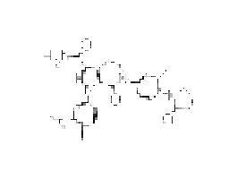 CSc1cc(-n2nc(C(N)=O)c3c2C(=O)N(c2ccc(N4CCCC4=O)c(C)c2)CC3)ccc1C